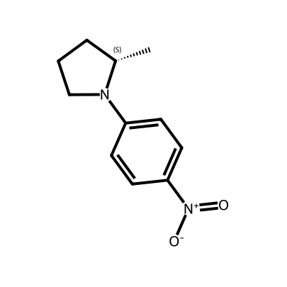 C[C@H]1CCCN1c1ccc([N+](=O)[O-])cc1